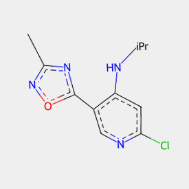 Cc1noc(-c2cnc(Cl)cc2NC(C)C)n1